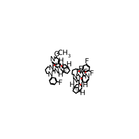 COc1cc(N2C[C@H]3CC[C@@H](C2)C3Nc2nc3n(n2)CCCN3c2cccc(F)c2)ccn1.Fc1cc(F)cc(N2CCCn3nc(NC4[C@@H]5CC[C@H]4CN(c4ccnc(C(F)(F)F)c4)C5)nc32)c1